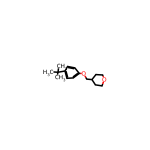 CC(C)(C)c1ccc(OCC2CCOCC2)cc1